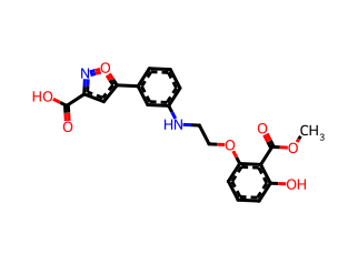 COC(=O)c1c(O)cccc1OCCNc1cccc(-c2cc(C(=O)O)no2)c1